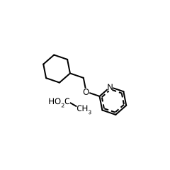 CC(=O)O.c1ccc(OCC2CCCCC2)nc1